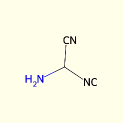 [C-]#[N+]C(N)C#N